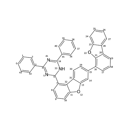 c1ccc(C2=NC(c3cccc4oc5cc(-c6cccc7c6oc6ccccc67)ccc5c34)NC(c3ccccc3)=N2)cc1